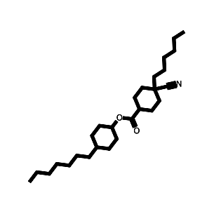 CCCCCCCC1CCC(OC(=O)C2CCC(C#N)(CCCCCC)CC2)CC1